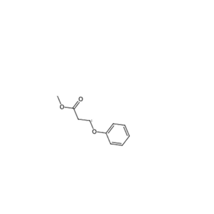 COC(=O)C[C]Oc1ccccc1